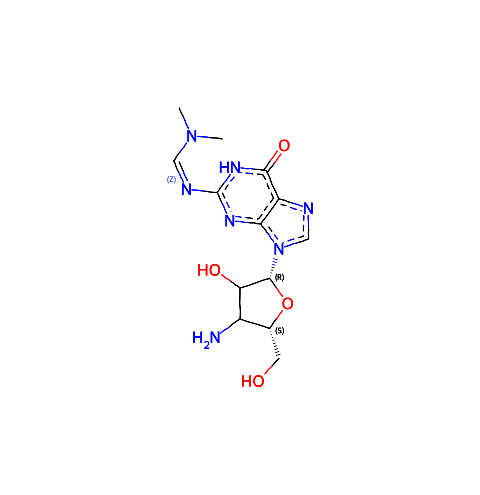 CN(C)/C=N\c1nc2c(ncn2[C@@H]2O[C@H](CO)C(N)C2O)c(=O)[nH]1